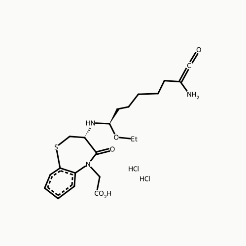 CCO[C@H](CCCCCC(N)=C=O)N[C@H]1CSc2ccccc2N(CC(=O)O)C1=O.Cl.Cl